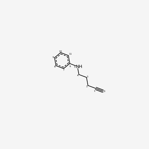 [C]#CCCCNc1ccccc1